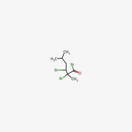 CC(C)CC(Br)C(C)(Br)C(=O)Br